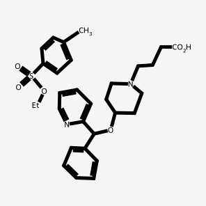 CCOS(=O)(=O)c1ccc(C)cc1.O=C(O)CCCN1CCC(OC(c2ccccc2)c2ccccn2)CC1